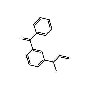 C=CC(C)c1cccc(C(=O)c2ccccc2)c1